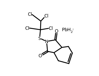 O=C1C2CC=CCC2C(=O)N1SC(Cl)(Cl)C(Cl)Cl.[PbH2]